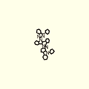 c1ccc(-c2nc(-n3c4ccccc4c4c3c3ccccc3c3nc5c6c(ccc5n34)c3ccccc3n6-c3ccccc3)nc3ccccc23)cc1